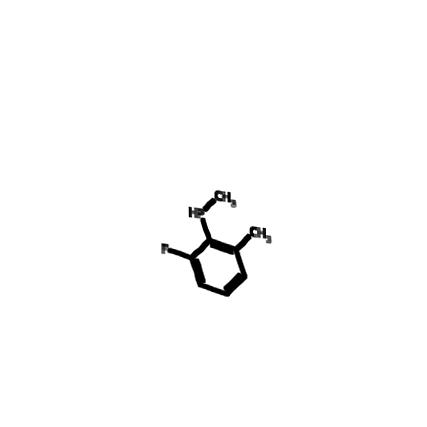 CPc1c(C)cccc1F